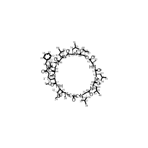 CO[C@H]([C@H](C)CC(=O)NCc1ccccc1)[C@@H]1C(=O)N[C@H]([C@@H](C)OC)C(=O)N(C)CC(=O)CN(C)[C@@H](CC(C)C)C(=O)N[C@H](CC(C)C)C(=O)N(C)[C@H](CC(C)C)C(=O)N[C@H](C)C(=O)O[C@@H](C(C)C)C(=O)N(C)[C@H](CC(C)C)C(=O)N[C@H](CC(C)C)C(=O)N(C)[C@H](C(C)C)C(=O)N1C